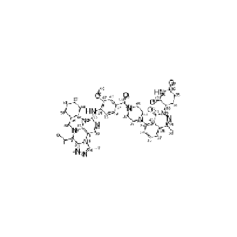 CC[C@@H]1c2nnc(C)n2-c2cnc(Nc3ccc(C(=O)N4CCN(c5cccc6c(C)nn(C7CCC(=O)NC7=O)c(=O)c56)CC4)cc3OC)nc2N1CC1CCCCC1